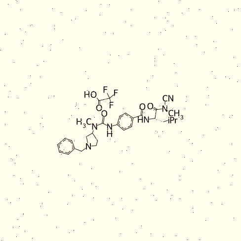 CC(C)C[C@H](NC(=O)c1ccc(NC(=O)N(C)C2CCN(Cc3ccccc3)C2)cc1)C(=O)N(C)C#N.O=C(O)C(F)(F)F